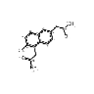 CN(C)Cc1ccc2c(CC(N)=O)c(Cl)ccc2c1